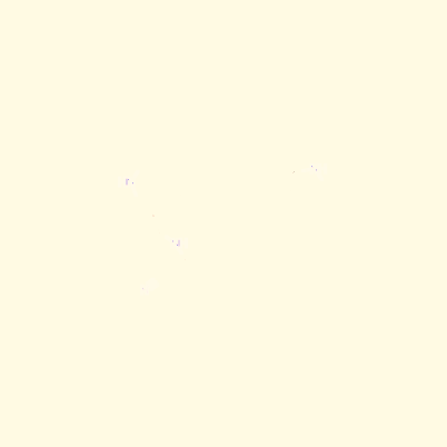 N#CC(Cc1ccc(-c2ccc3c(c2)C(=O)NC3)cc1F)NC(=O)[C@@H]1CNCCCO1